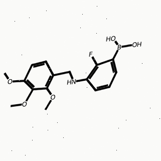 COc1ccc(CNc2cccc(B(O)O)c2F)c(OC)c1OC